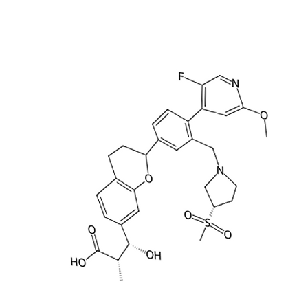 COc1cc(-c2ccc(C3CCc4ccc([C@H](O)[C@H](C)C(=O)O)cc4O3)cc2CN2CC[C@H](S(C)(=O)=O)C2)c(F)cn1